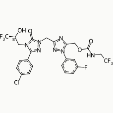 O=C(NCC(F)(F)F)OCc1nc(Cn2nc(-c3ccc(Cl)cc3)n(C[C@H](O)C(F)(F)F)c2=O)nn1-c1cccc(F)c1